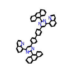 c1ccc2c(-c3nc(-c4ccc(-c5ccc(-c6cc(-c7cccc8cccnc78)nc(-c7c8ccccc8cc8ccccc78)n6)cc5)cc4)cc(-c4cccc5cccnc45)n3)c3ccccc3cc2c1